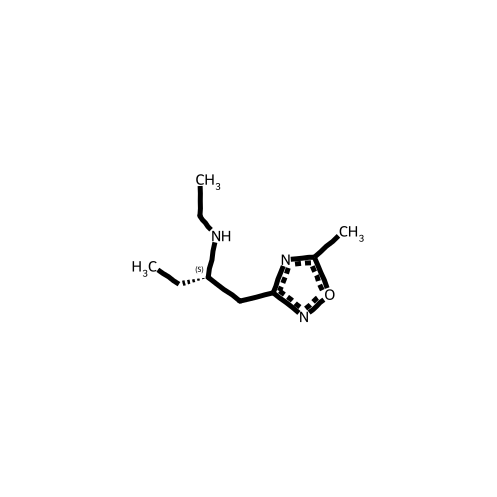 CCN[C@@H](CC)Cc1noc(C)n1